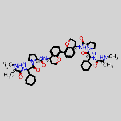 CN[C@@H](C)C(=O)NC(C(=O)N1CCC[C@H]1C(=O)N[C@@H]1CCOc2c(-c3cccc4c3OCC[C@H]4NC(=O)[C@@H]3CCCN3C(=O)[C@@H](NC(=O)[C@H](C)NC)C3CCCCC3)cccc21)C1CCCCC1